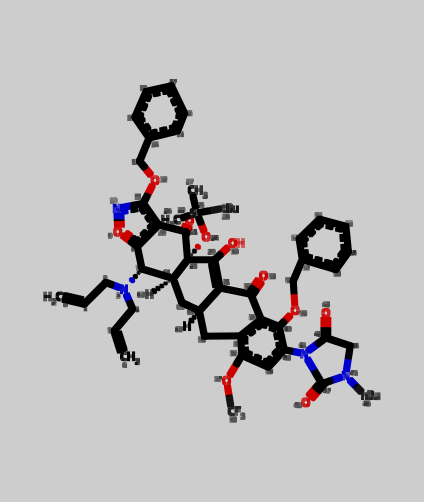 C=CCN(CC=C)[C@@H]1c2onc(OCc3ccccc3)c2C(=O)[C@@]2(O[Si](C)(C)C(C)(C)C)C(O)=C3C(=O)c4c(c(OC(F)(F)F)cc(N5C(=O)CN(CCCC)C5=O)c4OCc4ccccc4)C[C@H]3C[C@@H]12